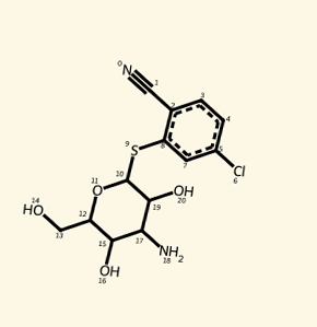 N#Cc1ccc(Cl)cc1SC1OC(CO)C(O)C(N)C1O